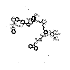 COC(=O)[C@H]1O[C@@H](Oc2ccc(C=CCC(=O)N(C)CCOC34CC5(C)CC(C)(CC(Cn6ncc(-c7ccc(-c8ccc9c(c8)N(C(=O)Nc8nc%10ccccc%10s8)CCO9)nc7C(=O)O)c6C)(C5)C3)C4)cc2NC(=O)CCNC(=O)OCC2c3ccccc3-c3ccccc32)[C@H](OC(C)=O)[C@@H](OC(C)=O)[C@@H]1OC(C)=O